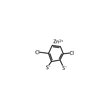 [S-]c1c(Cl)ccc(Cl)c1[S-].[Zn+2]